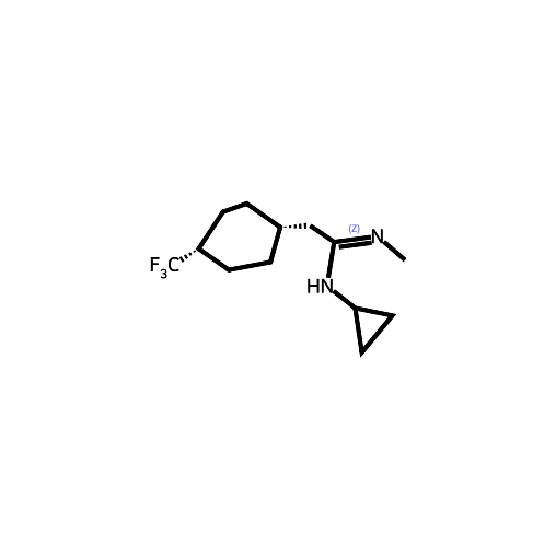 C/N=C(/C[C@H]1CC[C@@H](C(F)(F)F)CC1)NC1CC1